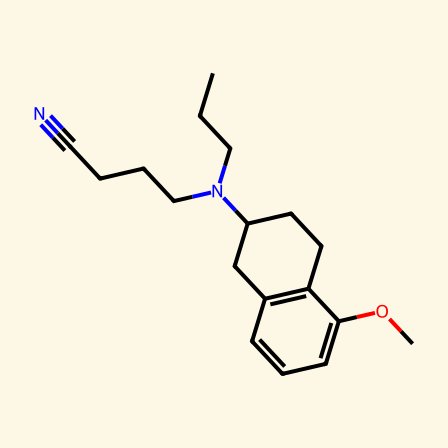 CCCN(CCCC#N)C1CCc2c(cccc2OC)C1